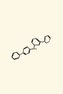 C1=CCCC(C2=CC=CC(Nc3ccc(-c4ccccc4)cc3)C2)=C1